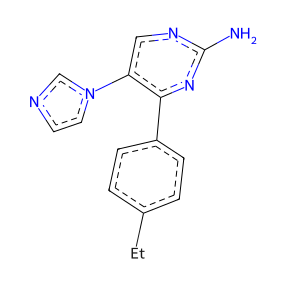 CCc1ccc(-c2nc(N)ncc2-n2ccnc2)cc1